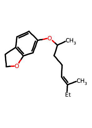 CCC(C)=CCCC(C)Oc1ccc2c(c1)OCC2